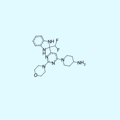 NC1CCN(c2cc(C3(C(F)F)Nc4ccccc4N3)nc(N3CCOCC3)n2)CC1